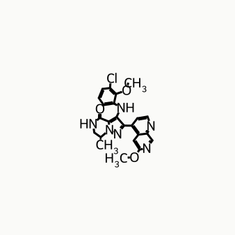 COc1cc2c(-c3nn4c(c3Nc3cccc(Cl)c3OC)C(=O)NC[C@@H]4C)ccnc2cn1